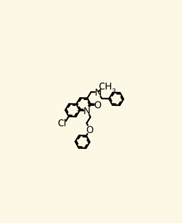 CN(Cc1ccccc1)Cc1cc2ccc(Cl)cc2n(CCOc2ccccc2)c1=O